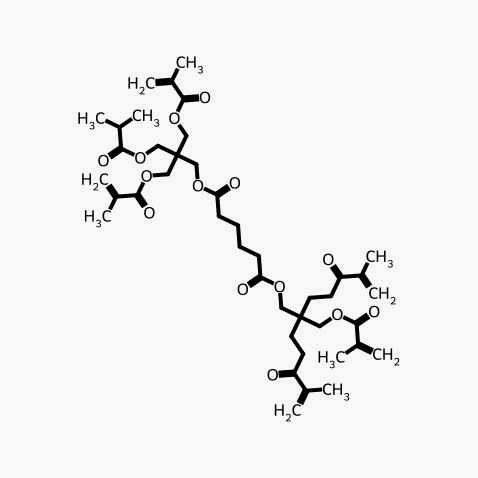 C=C(C)C(=O)CCC(CCC(=O)C(=C)C)(COC(=O)CCCCC(=O)OCC(COC(=O)C(=C)C)(COC(=O)C(=C)C)COC(=O)C(C)C)COC(=O)C(=C)C